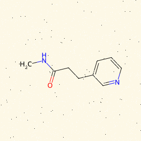 [CH2]NC(=O)CCc1cccnc1